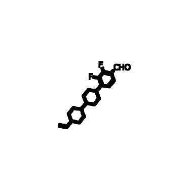 C=CC1CCC(C2CCC(c3ccc(C=O)c(F)c3F)CC2)CC1